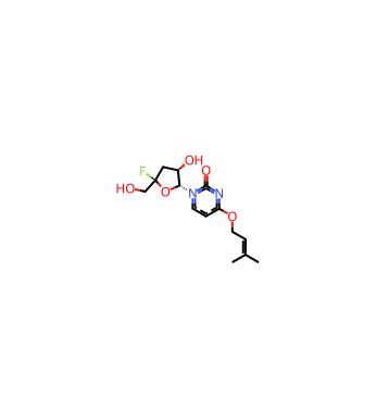 CC(C)=CCOc1ccn([C@@H]2O[C@](F)(CO)C[C@H]2O)c(=O)n1